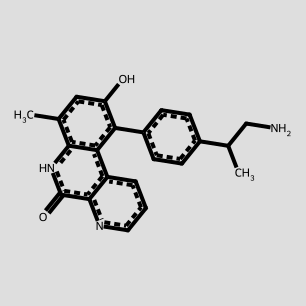 Cc1cc(O)c(-c2ccc(C(C)CN)cc2)c2c1[nH]c(=O)c1ncccc12